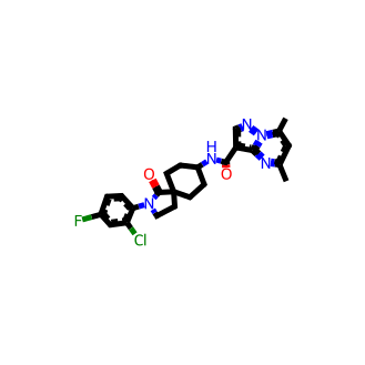 Cc1cc(C)n2ncc(C(=O)NC3CCC4(CC3)CCN(c3ccc(F)cc3Cl)C4=O)c2n1